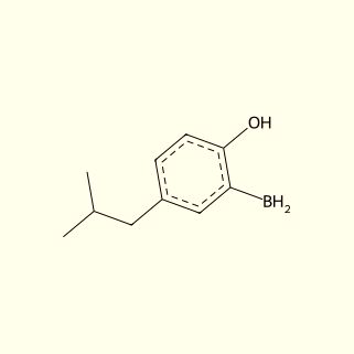 Bc1cc(CC(C)C)ccc1O